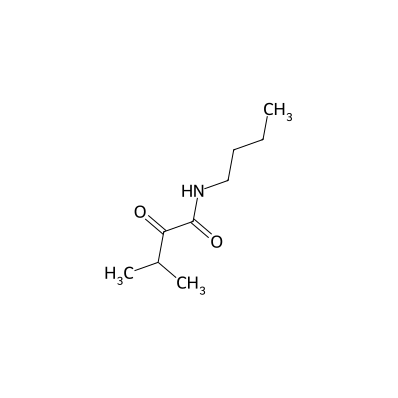 CCCCNC(=O)C(=O)C(C)C